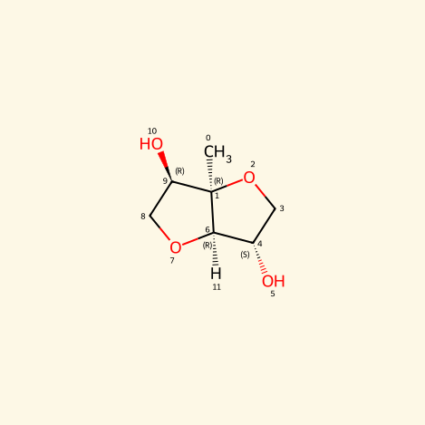 C[C@]12OC[C@H](O)[C@H]1OC[C@H]2O